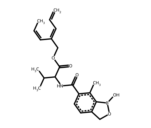 C=C/C=C(\C=C/C)COC(=O)C(NC(=O)c1ccc2c(c1C)B(O)OC2)C(C)C